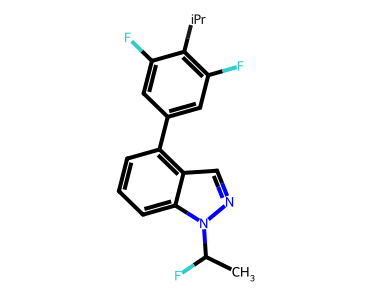 CC(C)c1c(F)cc(-c2cccc3c2cnn3C(C)F)cc1F